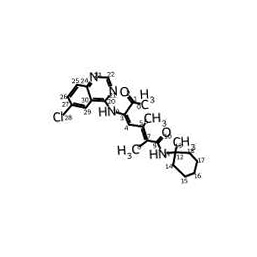 CC(=O)/C(=C\C(C)=C(/C)C(=O)NC1(C)CCCCC1)Nc1ncnc2ccc(Cl)cc12